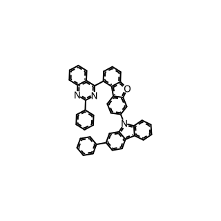 c1ccc(-c2ccc3c4ccccc4n(-c4ccc5c(c4)oc4cccc(-c6nc(-c7ccccc7)nc7ccccc67)c45)c3c2)cc1